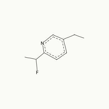 CCc1ccc(C(C)F)nc1